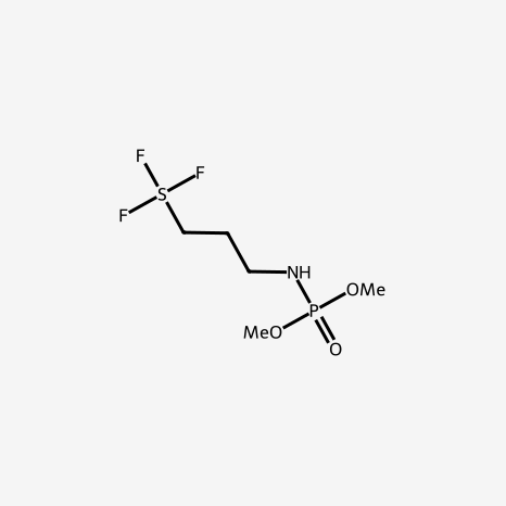 COP(=O)(NCCCS(F)(F)F)OC